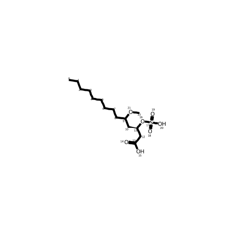 CCCCCCCCCC(C[C@H](CC(=O)O)OS(=O)(=O)O)OC